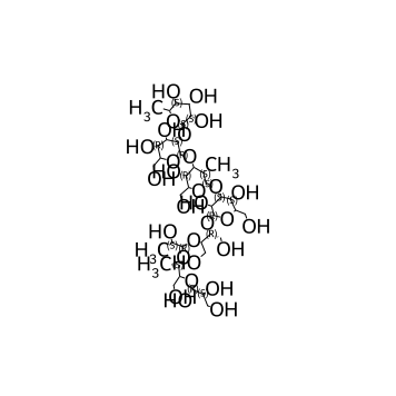 CC1O[C@@H](O[C@H]2C(O)[C@@H](O)C(CO)O[C@H]2OC2[C@@H](O)C(CO)O[C@@H](O[C@@H]3C(O)[C@@H](O[C@H](CO)C(CO)O[C@@H](O[C@@H](C)C(CO)O[C@@H](O)[C@@H](O)CO)[C@H](C)O)OC(CO)[C@@H]3O)[C@H]2C)[C@@H](O)C(O)[C@@H]1O